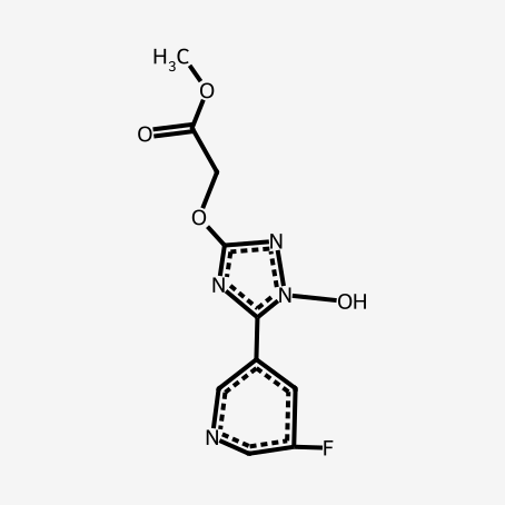 COC(=O)COc1nc(-c2cncc(F)c2)n(O)n1